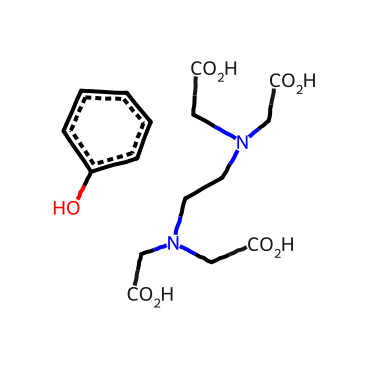 O=C(O)CN(CCN(CC(=O)O)CC(=O)O)CC(=O)O.Oc1ccccc1